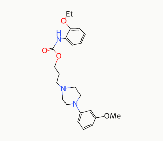 CCOc1ccccc1NC(=O)OCCCN1CCN(c2cccc(OC)c2)CC1